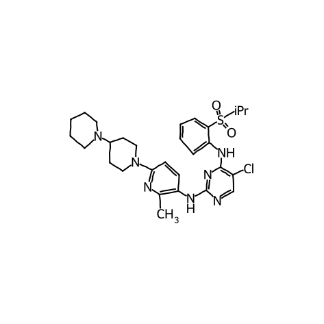 Cc1nc(N2CCC(N3CCCCC3)CC2)ccc1Nc1ncc(Cl)c(Nc2ccccc2S(=O)(=O)C(C)C)n1